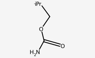 C[C](C)COC(N)=O